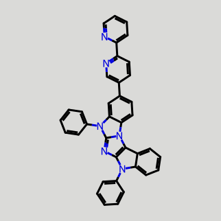 c1ccc(-n2c3ccccc3c3c2nc2n(-c4ccccc4)c4cc(-c5ccc(-c6ccccn6)nc5)ccc4n32)cc1